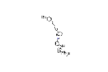 CCC(CC)(CC(=O)Nc1cccc(/C=C/c2cccc(COCCCCc3ccc(C(C)(C)C)cc3)n2)c1)C(=O)O